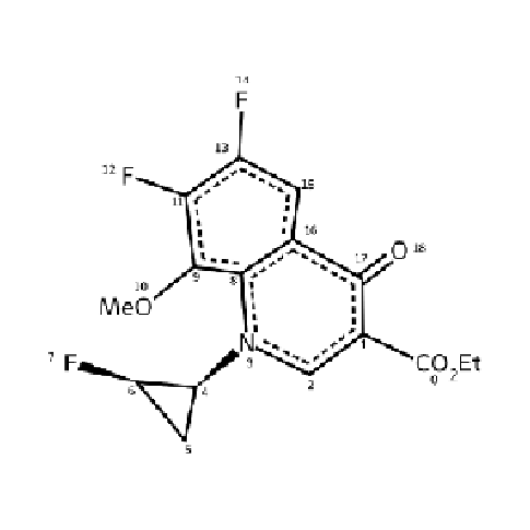 CCOC(=O)c1cn([C@H]2C[C@H]2F)c2c(OC)c(F)c(F)cc2c1=O